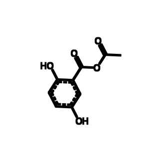 CC(=O)OC(=O)c1cc(O)ccc1O